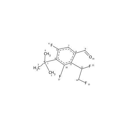 CS(C)(C)c1c(F)cc(C=O)c(C(F)CF)c1F